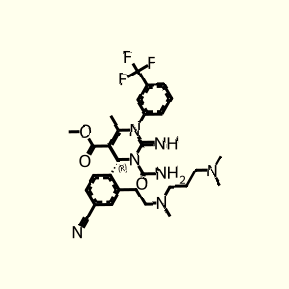 COC(=O)C1=C(C)N(c2cccc(C(F)(F)F)c2)C(=N)N(C(N)=O)[C@@H]1c1ccc(C#N)cc1CCN(C)CCCN(C)C